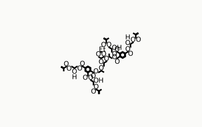 C=C(C)C(=O)OCC(O)COC(=O)c1ccc(C(=O)OCC(C)OCC(COC(C)COC(=O)c2ccc(C(=O)OCC(O)COC(=O)C(=C)C)cc2C(=O)OCC(O)COC(=O)C(=C)C)OC(C)COC(=O)CC)c(C(=O)OCC(O)COC(=O)C(=C)C)c1